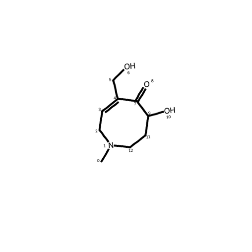 CN1C/C=C(/CO)C(=O)C(O)CC1